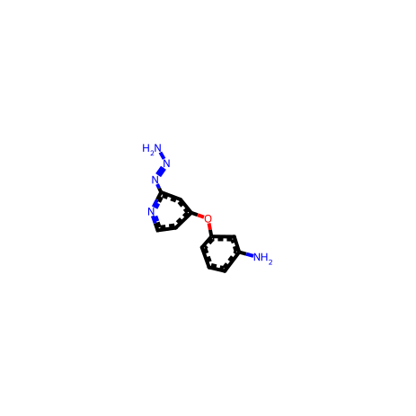 NN=Nc1cc(Oc2cccc(N)c2)ccn1